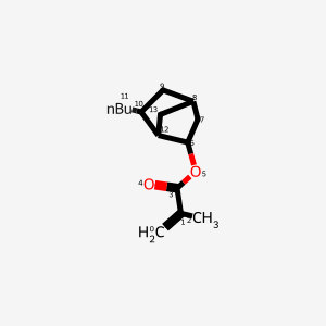 C=C(C)C(=O)OC1CC2CC(CCCC)C1C2